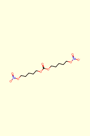 O=C(OCCCCCO[N+](=O)[O-])OCCCCCO[N+](=O)[O-]